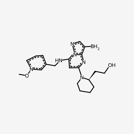 Bc1cnn2c(NCc3ccc[n+](OC)c3)cc(N3CCCC[C@@H]3CCO)nc12